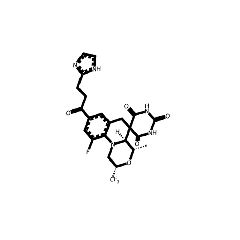 C[C@@H]1O[C@H](C(F)(F)F)CN2c3c(F)cc(C(=O)CCc4ncc[nH]4)cc3CC3(C(=O)NC(=O)NC3=O)[C@@H]12